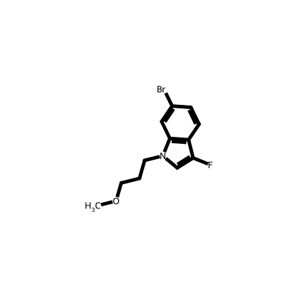 COCCCn1cc(F)c2ccc(Br)cc21